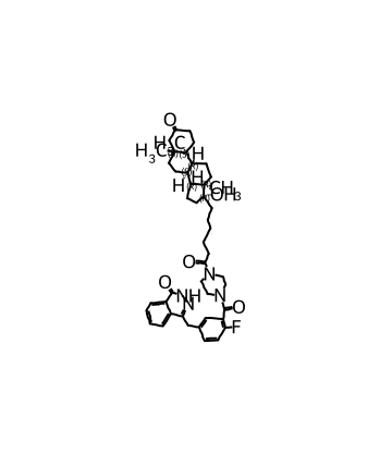 C[C@]12CC[C@H]3[C@@H](CC[C@]4(C)[C@@H]3CC[C@]4(O)CCCCCC(=O)N3CCN(C(=O)c4cc(Cc5n[nH]c(=O)c6ccccc56)ccc4F)CC3)[C@]1(C)CCC(=O)C2